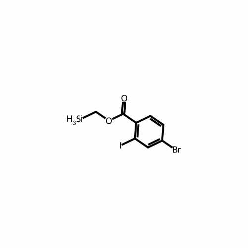 O=C(OC[SiH3])c1ccc(Br)cc1I